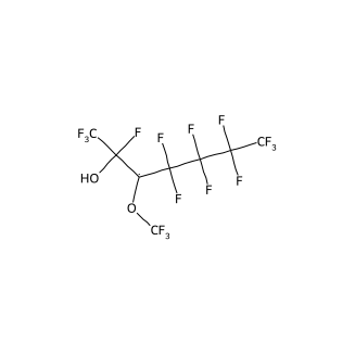 OC(F)([C](OC(F)(F)F)C(F)(F)C(F)(F)C(F)(F)C(F)(F)F)C(F)(F)F